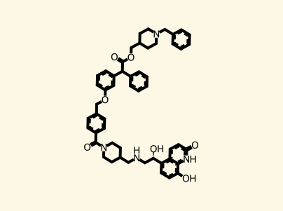 O=C(OCC1CCN(Cc2ccccc2)CC1)C(c1ccccc1)c1cccc(OCc2ccc(C(=O)N3CCC(CNC[C@H](O)c4ccc(O)c5[nH]c(=O)ccc45)CC3)cc2)c1